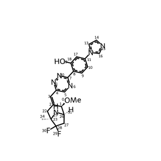 CO[C@@H]1/C(=C\c2cnc(-c3ccc(-n4ccnc4)cc3O)nn2)C[C@@]2(C)N[C@@H]1CC2(F)F